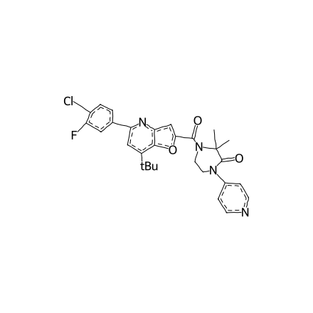 CC(C)(C)c1cc(-c2ccc(Cl)c(F)c2)nc2cc(C(=O)N3CCN(c4ccncc4)C(=O)C3(C)C)oc12